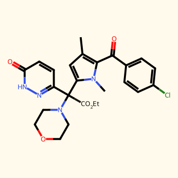 CCOC(=O)C(c1ccc(=O)[nH]n1)(c1cc(C)c(C(=O)c2ccc(Cl)cc2)n1C)N1CCOCC1